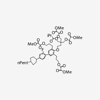 CCCCCC1CCC(c2ccc(-c3cc(CCCOC(=O)C(=O)OC)c(OCCC(COC(=O)C(=O)OC)(COC(=O)C(=O)OC)COC(=O)C(C)C)c(CCCOC(=O)C(=O)OC)c3)c(F)c2)CC1